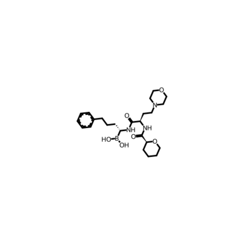 O=C(N[C@H](CCN1CCOCC1)C(=O)N[C@@H](CCCc1ccccc1)B(O)O)[C@@H]1CCCCO1